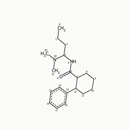 CCCC(NC(=O)C1CCCCC1c1ccccc1)N(C)C